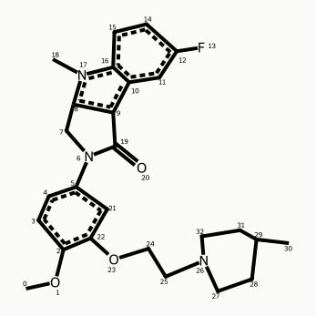 COc1ccc(N2Cc3c(c4cc(F)ccc4n3C)C2=O)cc1OCCN1CCC(C)CC1